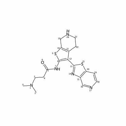 CN(C)CCC(=O)Nc1sc2c(c1-c1nc3cnccc3s1)CCNC2